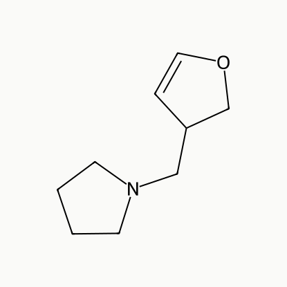 C1=CC(CN2CCCC2)CO1